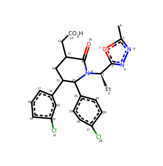 CC[C@H](c1nnc(C)o1)N1C(=O)C(CC(=O)O)CC(c2cccc(Cl)c2)C1c1ccc(Cl)cc1